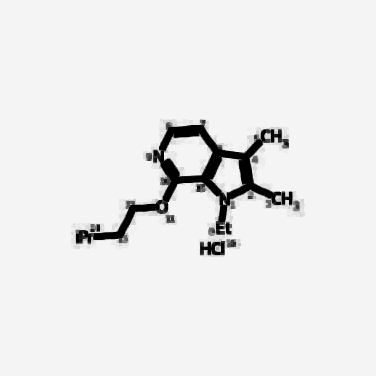 CCn1c(C)c(C)c2ccnc(OCCC(C)C)c21.Cl